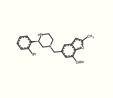 COc1cc(CN2CCN[C@H](c3ccccc3C(C)C)C2)cc2cc(C)oc12